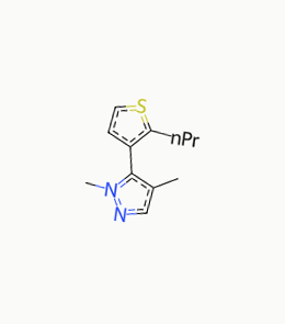 CCCc1sccc1-c1c(C)cnn1C